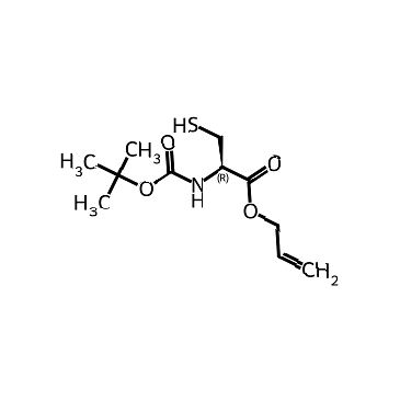 C=CCOC(=O)[C@H](CS)NC(=O)OC(C)(C)C